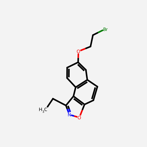 CCc1noc2ccc3cc(OCCBr)ccc3c12